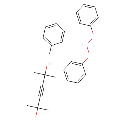 CC(C)(O)C#CC(C)(C)O.O=C(O)c1ccccc1.c1ccc(OPOc2ccccc2)cc1